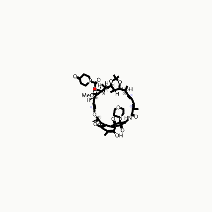 CO[C@H]1/C=C/O[C@@]2(C)Oc3c(C)c(O)c4c(c3C2=O)C(=O)C(N2CCOCC2)=C(NC(=O)/C(C)=C\C=C\[C@H](C)[C@@H]2OC(C)(C)O[C@@H]([C@@H](C)[C@H](OC(=O)N3CCC(=O)CC3)[C@@H]1C)[C@@H]2C)C4=O